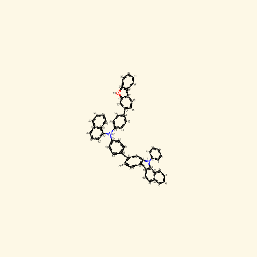 c1ccc(-n2c3cc(-c4ccc(N(c5ccc(-c6ccc7c(c6)oc6ccccc67)cc5)c5cccc6ccccc56)cc4)ccc3c3ccc4ccccc4c32)cc1